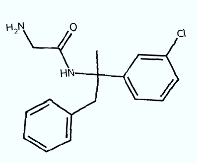 CC(Cc1ccccc1)(NC(=O)CN)c1cccc(Cl)c1